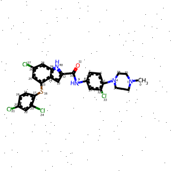 CN1CCN(c2ccc(NC(=O)c3cc4c(Sc5ccc(Cl)cc5Cl)cc(Cl)cc4[nH]3)cc2Cl)CC1